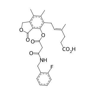 C/C(=C\Cc1c(C)c(C)c2c(c1OC(=O)CC(=O)NCc1ccccc1F)C(=O)OC2)CCC(=O)O